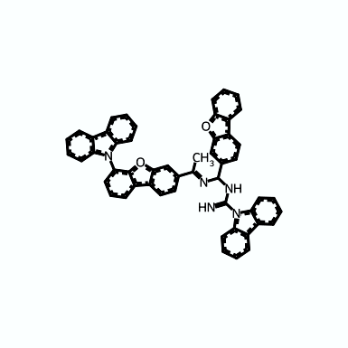 C/C(=N\C(NC(=N)n1c2ccccc2c2ccccc21)c1ccc2c(c1)oc1ccccc12)c1ccc2c(c1)oc1c(-n3c4ccccc4c4ccccc43)cccc12